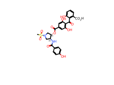 CS(=O)(=O)N1C[C@H](NC(=O)c2ccc(O)cc2)[C@@H](OC(=O)c2cc(O)c(C(=O)c3c(O)cccc3C(=O)O)c(O)c2)C1